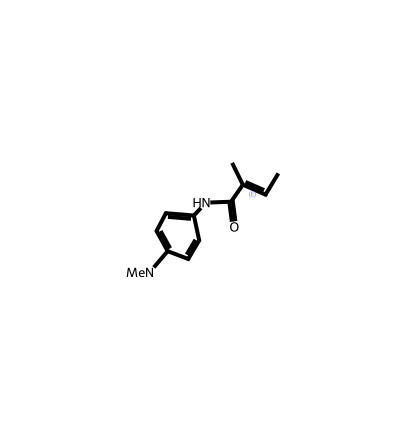 C/C=C(\C)C(=O)Nc1ccc(NC)cc1